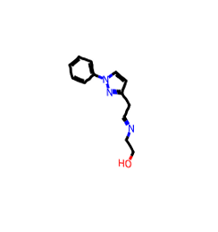 OCC/N=C/Cc1ccn(-c2ccccc2)n1